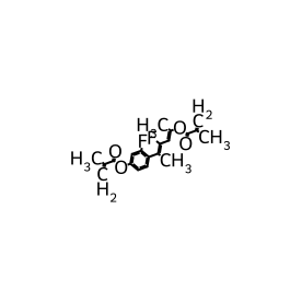 C=C(C)C(=O)O/C(C)=C/C(F)=C(\C)c1ccc(OC(=O)C(=C)C)cc1F